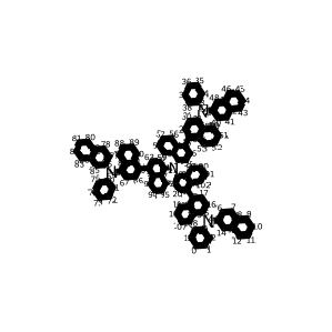 c1ccc(N(c2ccc3ccccc3c2)c2ccc(-c3ccc(N(c4ccc(-c5ccc(N(c6ccccc6)c6ccc7ccccc7c6)c6ccccc56)c5ccccc45)c4ccc(-c5ccc(N(c6ccccc6)c6ccc7ccccc7c6)c6ccccc56)c5ccccc45)c4ccccc34)c3ccccc23)cc1